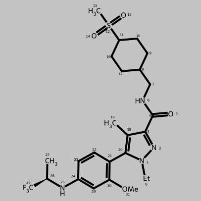 CCn1nc(C(=O)NCC2CCC(S(C)(=O)=O)CC2)c(C)c1-c1ccc(N[C@H](C)C(F)(F)F)cc1OC